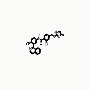 Cc1c[nH]c(SCc2ccc(C(=O)Nc3ccc(Cl)c(-c4nccc5ccccc45)c3)c(Cl)c2)n1